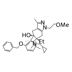 CC[C@]1(c2cc(OCc3ccccc3)ccc2C)Cc2c(c(C)nn2CCOC)C[C@@]1(O)[C@@H](C)N(C)CC1CC1